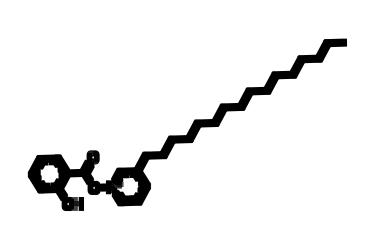 CCCCCCCCCCCCCCCCc1ccc[n+](OC(=O)c2ccccc2O)c1